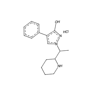 CC(C1CCCCN1)n1cc(-c2ccccc2)c(O)n1.Cl